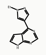 [CH2]Cn1cc(-c2ncnc3[nH]ccc23)cn1